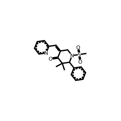 CC1(C)C(=O)/C(=C\c2ccccn2)CN(S(C)(=O)=O)C1c1ccccc1